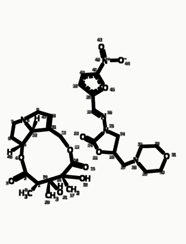 C[C@H]1C(=O)O[C@@H]2CCN3CC=C(COC(=O)[C@](C)(O)[C@]1(C)O)[C@H]23.O=C1OC(CN2CCOCC2)CN1/N=C/c1ccc([N+](=O)[O-])o1